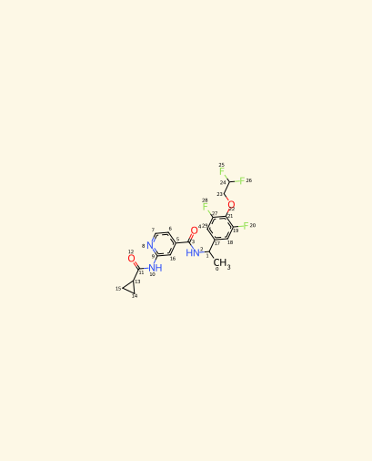 CC(NC(=O)c1ccnc(NC(=O)C2CC2)c1)c1cc(F)c(OCC(F)F)c(F)c1